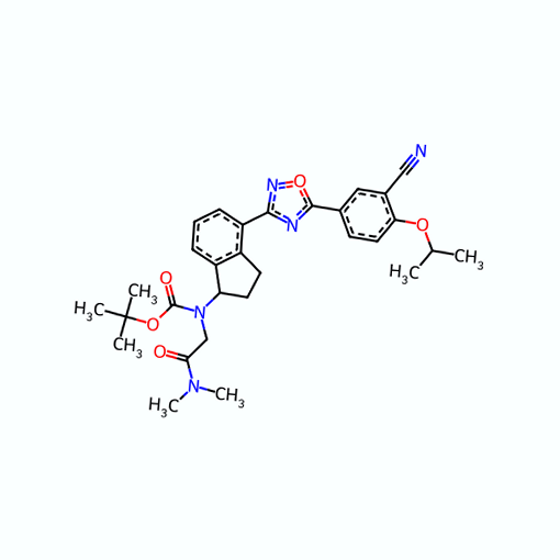 CC(C)Oc1ccc(-c2nc(-c3cccc4c3CCC4N(CC(=O)N(C)C)C(=O)OC(C)(C)C)no2)cc1C#N